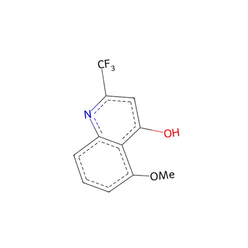 COc1cccc2nc(C(F)(F)F)cc(O)c12